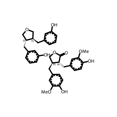 COc1cc(C[C@H]2COC(=O)[C@@H]2Cc2ccc(O)c(OC)c2)ccc1O.Oc1cccc(C[C@@H]2COC[C@H]2Cc2cccc(O)c2)c1